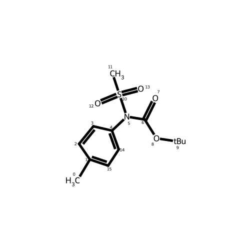 Cc1ccc(N(C(=O)OC(C)(C)C)S(C)(=O)=O)cc1